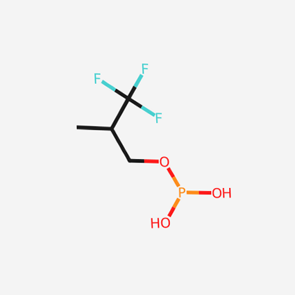 CC(COP(O)O)C(F)(F)F